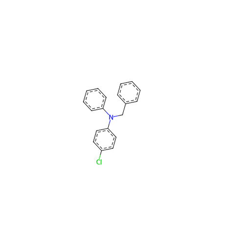 Clc1ccc(N(Cc2ccccc2)c2ccccc2)cc1